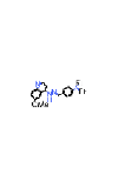 CCN(CC)c1ccc(C=NNc2ccnc3ccc(OC)cc23)cc1